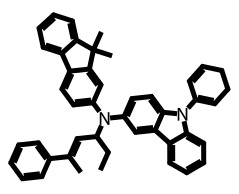 CCC(/C=C(\C)c1ccccc1)N(c1ccc2c(c1)C(C)(C)c1ccccc1-2)c1ccc2c(c1)c1ccccc1n2C1=CCCC=C1